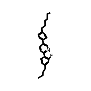 CCCCCCc1ccc(-c2ccc(-c3ccc(CCCC)cc3F)nc2)cc1